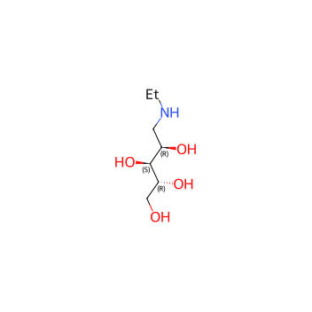 CCNC[C@@H](O)[C@H](O)[C@H](O)CO